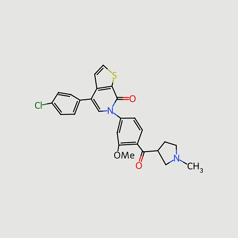 COc1cc(-n2cc(-c3ccc(Cl)cc3)c3ccsc3c2=O)ccc1C(=O)C1CCN(C)C1